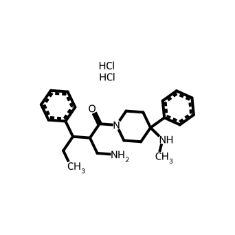 CCC(c1ccccc1)C(CN)C(=O)N1CCC(NC)(c2ccccc2)CC1.Cl.Cl